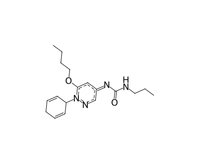 CCCCOc1cc(=NC(=O)NCCC)cnn1C1C=CCC=C1